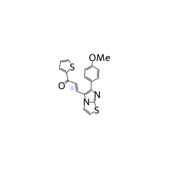 COc1ccc(-c2nc3sccn3c2/C=C/C(=O)c2cccs2)cc1